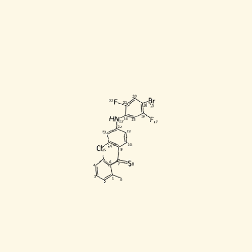 Cc1ccccc1C(=S)c1ccc(Nc2cc(F)c(Br)cc2F)cc1Cl